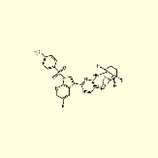 CCOC(=O)[C@H]1[C@H]2CC[C@H](CC2)[C@@H]1Nc1nc(-c2cn(S(=O)(=O)c3ccc(C)cc3)c3ncc(F)cc23)ncc1F